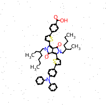 CCCCC(CC)CN1C(=O)C2=C(c3ccc(-c4ccc(N(c5ccccc5)c5ccccc5)cc4)s3)N(CC(CC)CCCC)C(=O)C2=C1c1ccc(-c2ccc(C(=O)O)cc2)s1